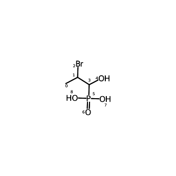 CC(Br)C(O)P(=O)(O)O